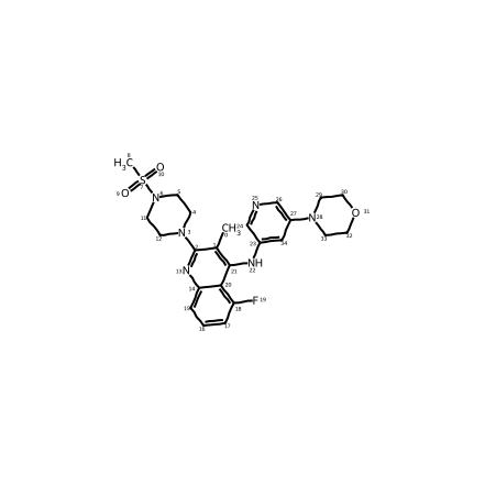 Cc1c(N2CCN(S(C)(=O)=O)CC2)nc2cccc(F)c2c1Nc1cncc(N2CCOCC2)c1